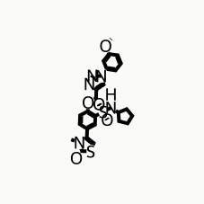 COc1cccc(-n2cc(COc3ccc(-c4csc(=O)n4C)cc3S(=O)(=O)NC3CCCC3)nn2)c1